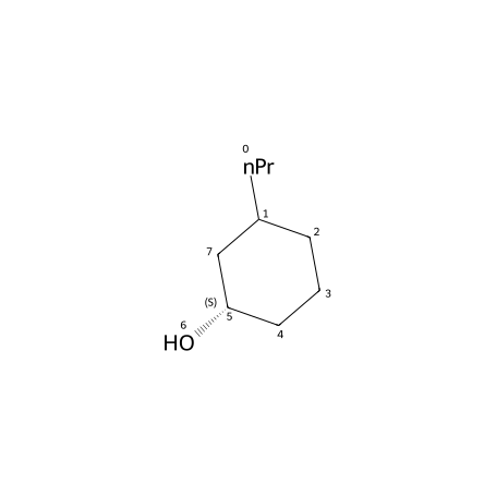 CCCC1CCC[C@H](O)C1